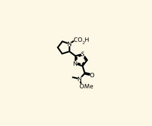 CON(C)C(=O)c1csc(C2CCCN2C(=O)O)n1